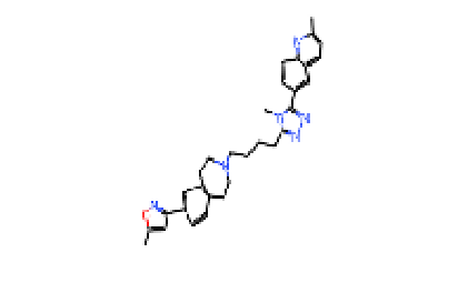 Cc1ccc2cc(-c3nnc(CCCCN4CCc5ccc(-c6cc(C)on6)cc5CC4)n3C)ccc2n1